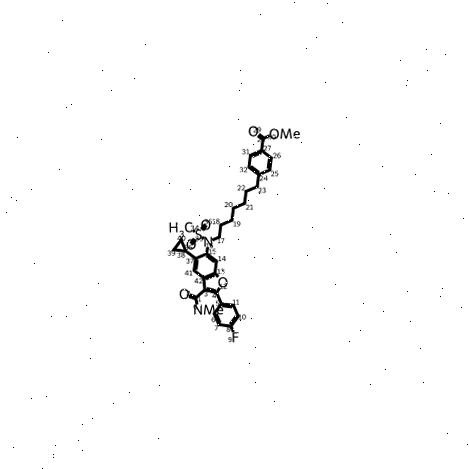 CNC(=O)c1c(-c2ccc(F)cc2)oc2cc(N(CCCCCCCc3ccc(C(=O)OC)cc3)S(C)(=O)=O)c(C3CC3)cc12